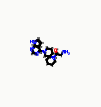 NCC(=O)N1CCCCC12CCCN(c1ncnc3[nH]ccc13)C2